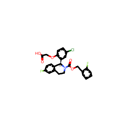 O=C(O)COc1ccc(Cl)cc1[C@@H]1c2ccc(F)cc2CCN1C(=O)OCc1ccccc1F